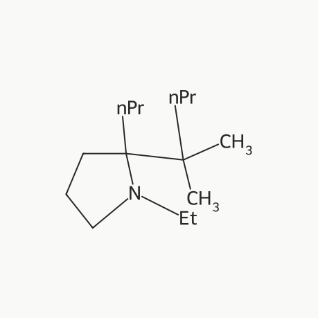 CCCC(C)(C)C1(CCC)CCCN1CC